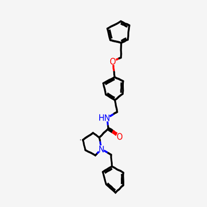 O=C(NCc1ccc(OCc2ccccc2)cc1)C1C[CH]CCN1Cc1ccccc1